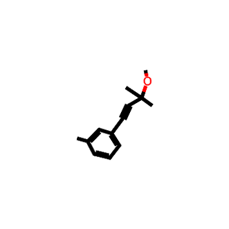 COC(C)(C)C#Cc1cccc(C)c1